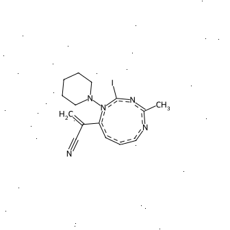 C=C(C#N)c1cccnc(C)nc(I)n1N1CCCCC1